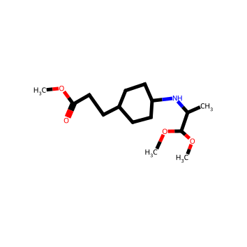 COC(=O)CCC1CCC(NC(C)C(OC)OC)CC1